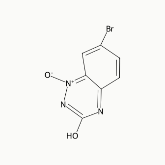 [O-][n+]1nc(O)nc2ccc(Br)cc21